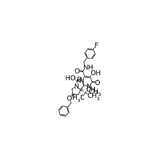 Cn1c([C@@]2(C(C)(C)C)C[C@@H](OCc3ccccc3)CN2C(=O)O)nc(C(=O)NCc2ccc(F)cc2)c(O)c1=O